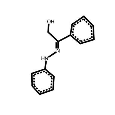 OCC(=NNc1ccccc1)c1ccccc1